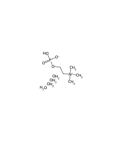 C[N+](C)(C)CCOP(=O)([O-])O.O.O.O.O